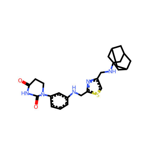 O=C1CCN(c2cccc(NCc3nc(CNC45CC6CC(CC(C6)C4)C5)cs3)c2)C(=O)N1